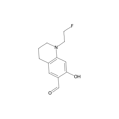 O=Cc1cc2c(cc1O)N(CCF)CCC2